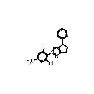 FC(F)(F)c1cc(Cl)c(-n2cc3c(n2)CCC3c2ccccc2)c(Cl)c1